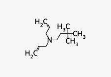 C=CCN(CC=C)CCC(C)(C)C